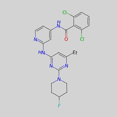 CCc1cc(Nc2cc(NC(=O)c3c(Cl)cccc3Cl)ccn2)nc(N2CCC(F)CC2)n1